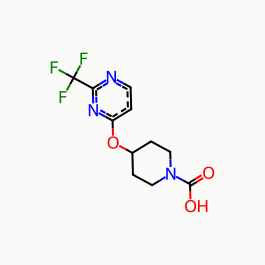 O=C(O)N1CCC(Oc2ccnc(C(F)(F)F)n2)CC1